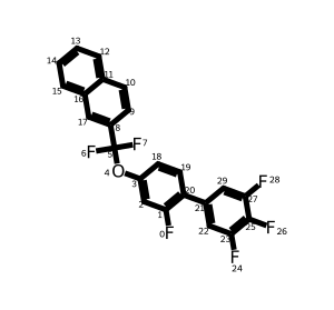 Fc1cc(OC(F)(F)c2ccc3ccccc3c2)ccc1-c1cc(F)c(F)c(F)c1